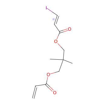 C=CC(=O)OCC(C)(C)COC(=O)/C=C/I